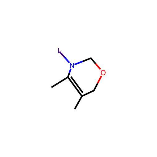 CC1=C(C)N(I)COC1